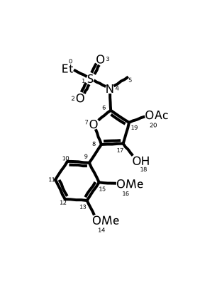 CCS(=O)(=O)N(C)c1oc(-c2cccc(OC)c2OC)c(O)c1OC(C)=O